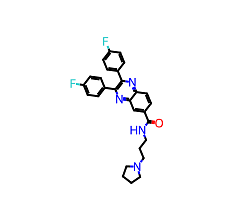 O=C(NCCCN1CCCC1)c1ccc2nc(-c3ccc(F)cc3)c(-c3ccc(F)cc3)nc2c1